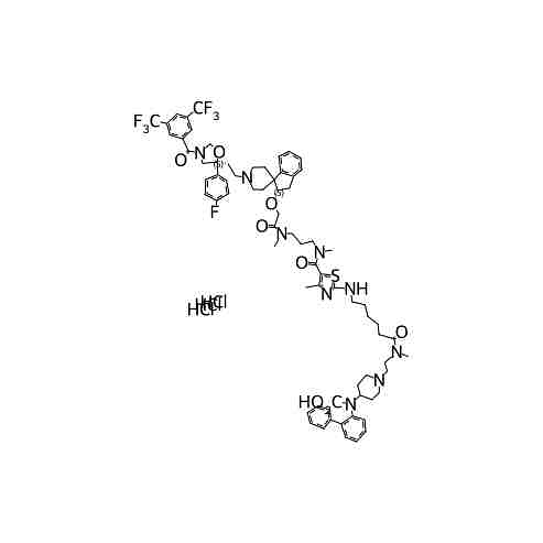 Cc1nc(NCCCCCC(=O)N(C)CCN2CCC(N(C(=O)O)c3ccccc3-c3ccccc3)CC2)sc1C(=O)N(C)CCCN(C)C(=O)CO[C@H]1Cc2ccccc2C12CCN(CC[C@]1(c3ccc(F)cc3)CN(C(=O)c3cc(C(F)(F)F)cc(C(F)(F)F)c3)CO1)CC2.Cl.Cl.Cl